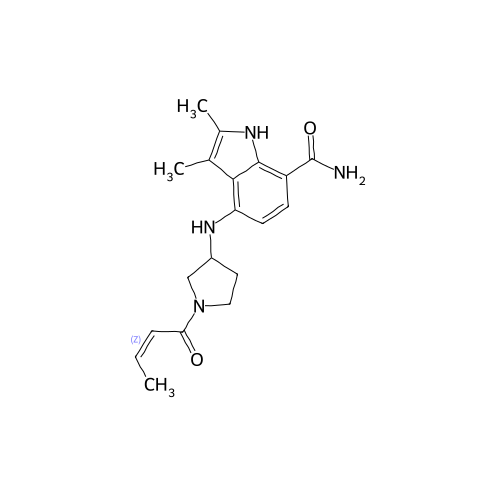 C/C=C\C(=O)N1CCC(Nc2ccc(C(N)=O)c3[nH]c(C)c(C)c23)C1